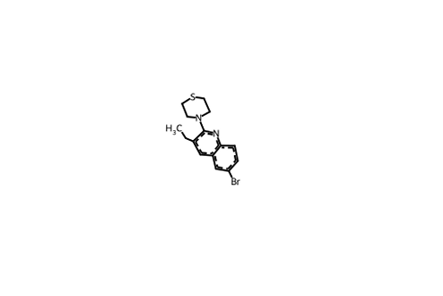 CCc1cc2cc(Br)ccc2nc1N1CCSCC1